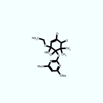 CCCCC1(OCC(=O)O)C=C(Cl)C(Cl)C(C)(C)C1(Cl)Sc1nc(OC)cc(OC)n1